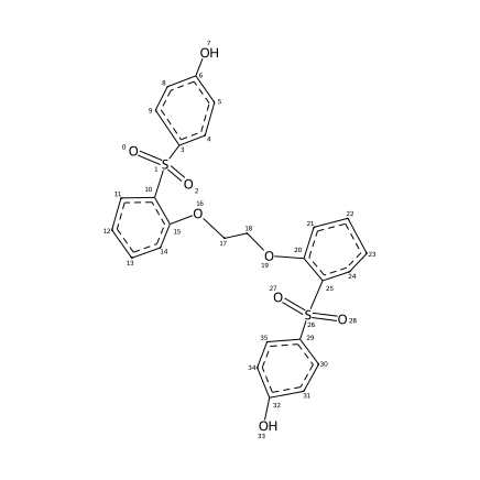 O=S(=O)(c1ccc(O)cc1)c1ccccc1OCCOc1ccccc1S(=O)(=O)c1ccc(O)cc1